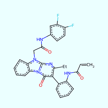 C=CC(=O)Nc1ccccc1-c1c(CC)nc2n(CC(=O)Nc3ccc(F)c(F)c3)c3ccccc3n2c1=O